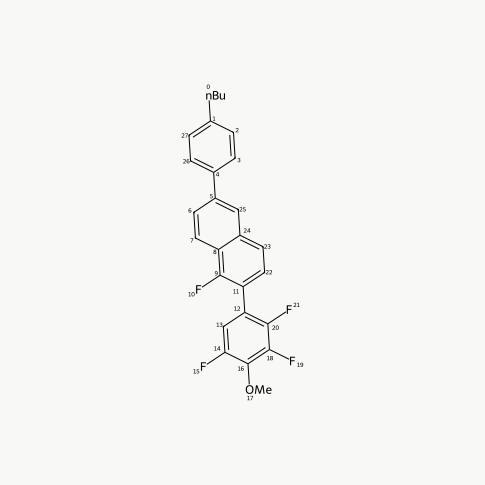 CCCCc1ccc(-c2ccc3c(F)c(-c4cc(F)c(OC)c(F)c4F)ccc3c2)cc1